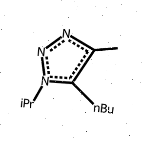 CCCCc1c(C)nnn1C(C)C